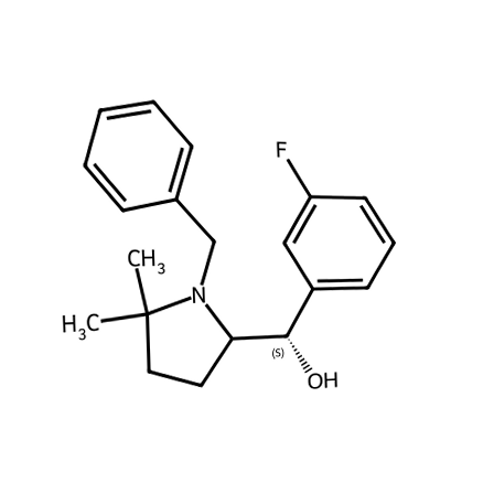 CC1(C)CCC([C@@H](O)c2cccc(F)c2)N1Cc1ccccc1